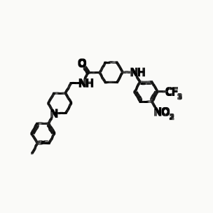 Cc1ccc(N2CCC(CNC(=O)C3CCC(Nc4ccc([N+](=O)[O-])c(C(F)(F)F)c4)CC3)CC2)cc1